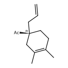 C=CC[C@]1(C(C)=O)CCC(C)=C(C)C1